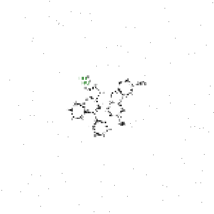 CC(C)(C)c1ccc2c(c1)-c1cc(C(C)(C)C)c[c]([Zr]([C]3=CC=CC3)=[Si](c3ccccc3)c3ccccc3)c1C2.Cl.Cl